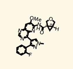 COc1cc2ncnc(-c3cn(C)nc3-c3ccccc3F)c2nc1NC(=O)[C@@]12COC[C@@H]1C2